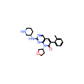 Cc1ccccc1-c1cc2cnc(N[C@H]3CCCNC3)nc2n([C@@H]2CCOC2)c1=O